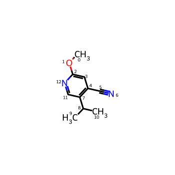 COc1cc(C#N)c(C(C)C)cn1